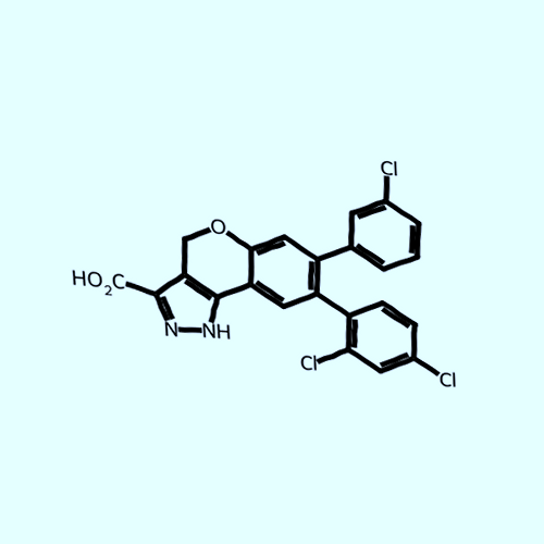 O=C(O)c1n[nH]c2c1COc1cc(-c3cccc(Cl)c3)c(-c3ccc(Cl)cc3Cl)cc1-2